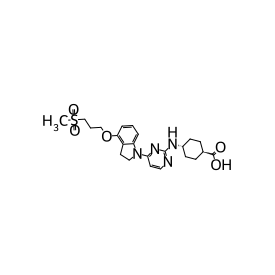 CS(=O)(=O)CCCOc1cccc2c1CCN2c1ccnc(N[C@H]2CC[C@H](C(=O)O)CC2)n1